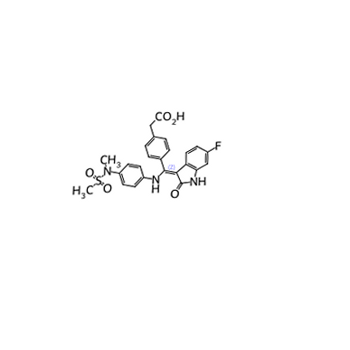 CN(c1ccc(N/C(=C2\C(=O)Nc3cc(F)ccc32)c2ccc(CC(=O)O)cc2)cc1)S(C)(=O)=O